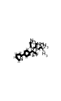 CC(C)C[C@@H](C(N)=O)N(CC#N)[C@@H](c1ccc(-c2ccccn2)cc1)C(F)(F)F